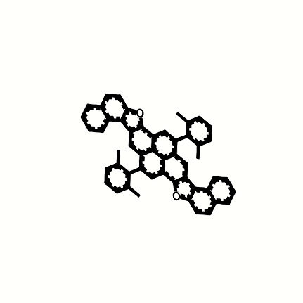 Cc1cccc(C)c1-c1cc2c3oc4ccc5ccccc5c4c3cc3c(-c4c(C)cccc4C)cc4c5oc6ccc7ccccc7c6c5cc1c4c32